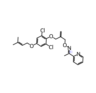 C=C(CO/N=C(\C)c1ccccn1)COc1c(Cl)cc(OCC=C(C)C)cc1Cl